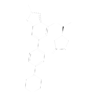 CC(Oc1cc(-c2ccc(N3CCOCC3)cc2)cc2nn(C)cc12)[C@H]1CNC(=O)C1